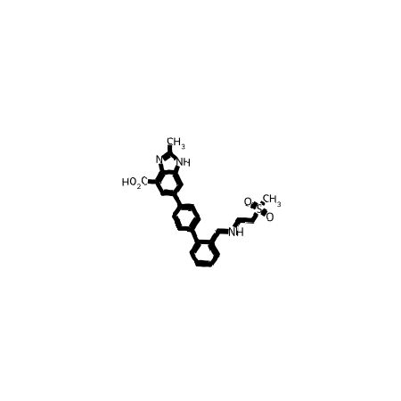 Cc1nc2c(C(=O)O)cc(-c3ccc(-c4ccccc4CNCCS(C)(=O)=O)cc3)cc2[nH]1